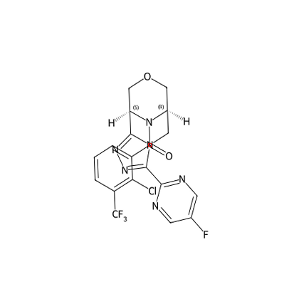 O=C(c1cccc(C(F)(F)F)c1Cl)N1[C@H]2COC[C@@H]1c1nnc(-c3ncc(F)cn3)n1C2